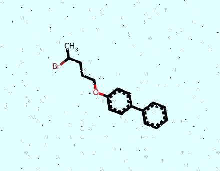 CC(Br)CCCOc1ccc(-c2ccccc2)cc1